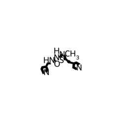 Cc1nc(NC(=O)NCCc2cccnc2)sc1C#Cc1ccncc1